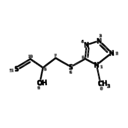 Cn1nnnc1SCC(O)C=S